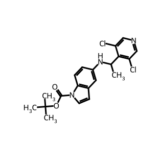 CC(Nc1ccc2c(ccn2C(=O)OC(C)(C)C)c1)c1c(Cl)cncc1Cl